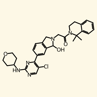 CC1(C)c2ccccc2CCN1C(=O)CN1Cc2ccc(-c3nc(NC4CCOCC4)ncc3Cl)cc2C1O